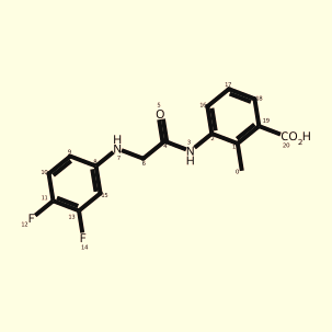 Cc1c(NC(=O)CNc2ccc(F)c(F)c2)cccc1C(=O)O